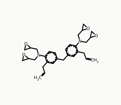 C=CCc1cc(Cc2ccc(N(CC3CO3)CC3CO3)c(CC=C)c2)ccc1N(CC1CO1)CC1CO1